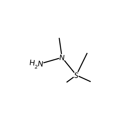 CN(N)S(C)(C)C